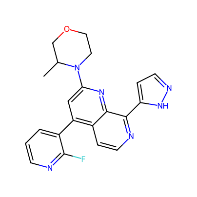 CC1COCCN1c1cc(-c2cccnc2F)c2ccnc(-c3ccn[nH]3)c2n1